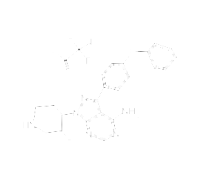 Nc1ncnc2c1c(-c1ccc(Oc3ccccc3)cc1)nn2C1CCNCC1F.O=C(O)C(F)(F)F